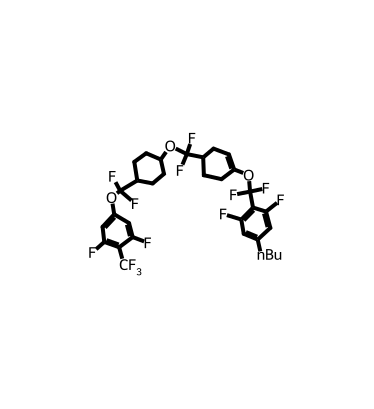 CCCCc1cc(F)c(C(F)(F)OC2=CCC(C(F)(F)OC3CCC(C(F)(F)Oc4cc(F)c(C(F)(F)F)c(F)c4)CC3)CC2)c(F)c1